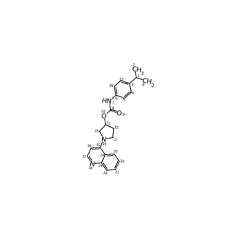 CC(C)c1ccc(NC(=O)OC2CCN(c3ccnc4ccccc34)C2)cc1